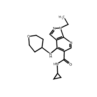 CCn1ncc2c(NC3CCOCC3)c(C(=O)NC3CC3)cnc21